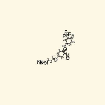 [N-]=[N+]=NCCCOc1ccc(OCc2ccc(F)c(C(F)(F)F)c2)c(C=O)c1